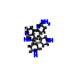 Nc1ccc(CC2CCCNC2)c(-c2ccnc3[nH]c(C4CCNCC4)cc23)n1